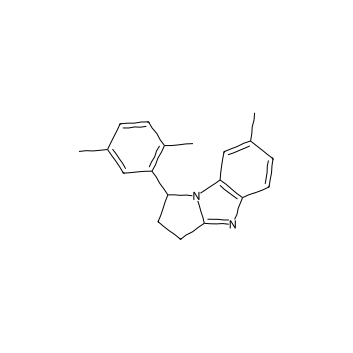 Cc1ccc(C)c(C2CCc3nc4ccc(C)cc4n32)c1